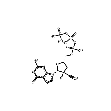 C#C[C@@]1(F)C[C@@H](COP(=O)(O)OP(=O)(O)OP(=O)(O)O)O[C@H]1n1cnc2c(=O)[nH]c(N)nc21